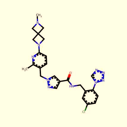 Cc1nc(N2CC3(CN(C)C3)C2)ccc1Cn1cc(C(=O)NCc2cc(Cl)ccc2-n2cnnn2)cn1